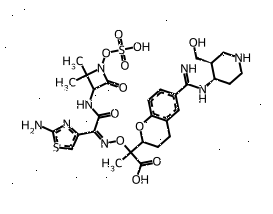 CC(ON=C(C(=O)NC1C(=O)N(OS(=O)(=O)O)C1(C)C)c1csc(N)n1)(C(=O)O)C1CCc2cc(C(=N)N[C@@H]3CCNC[C@@H]3CO)ccc2O1